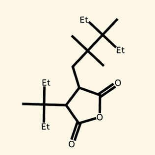 CCC(C)(CC)C1C(=O)OC(=O)C1CC(C)(C)C(C)(CC)CC